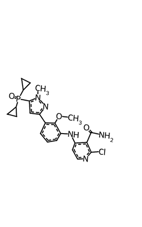 COc1c(Nc2ccnc(Cl)c2C(N)=O)cccc1-c1cc(P(=O)(C2CC2)C2CC2)n(C)n1